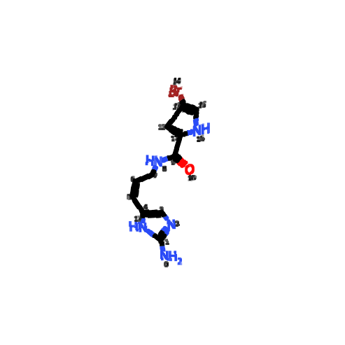 Nc1ncc(/C=C\CNC(=O)c2cc(Br)c[nH]2)[nH]1